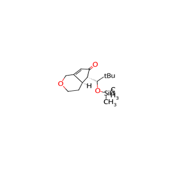 C[SiH](C)OC([C@H]1C(=O)C=C2COCC[C@@H]21)C(C)(C)C